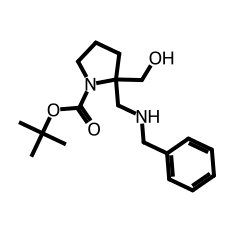 CC(C)(C)OC(=O)N1CCCC1(CO)CNCc1ccccc1